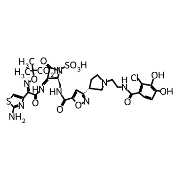 CC(C)(O/N=C(\C(=O)N/C=C1/C(=O)N(S(=O)(=O)O)[C@H]1CNC(=O)c1cc([C@@H]2CCN(CCNC(=O)c3ccc(O)c(O)c3Cl)C2)no1)c1csc(N)n1)C(=O)O